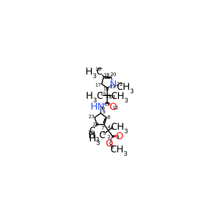 COC(=O)C(C)(C)C1=CC(NC(=O)C(C)(C)C2CC(C)=CN2C)CC1C